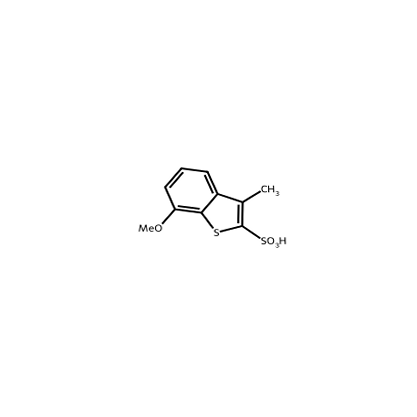 COc1cccc2c(C)c(S(=O)(=O)O)sc12